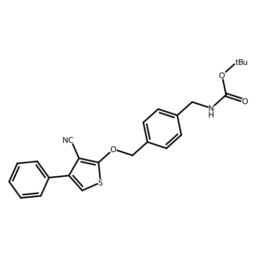 CC(C)(C)OC(=O)NCc1ccc(COc2scc(-c3ccccc3)c2C#N)cc1